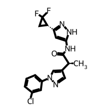 C[C@H](C(=O)Nc1cc([C@@H]2CC2(F)F)n[nH]1)c1cnn(-c2cccc(Cl)c2)c1